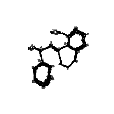 CN(/N=C1\CCCc2cccc(N)c21)c1ccccc1